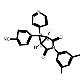 Cc1cc(C)cc(N2C(=O)[C@@H]3[C@H](C2=O)[C@@]3(c2ccncc2)c2ccc(C#N)cc2)c1